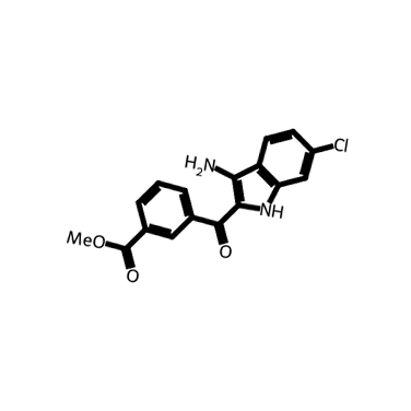 COC(=O)c1cccc(C(=O)c2[nH]c3cc(Cl)ccc3c2N)c1